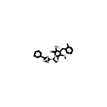 COc1c(Cc2ccccc2C)c(N)c(=O)n2c1SC[C@H]2c1noc(-c2ccccc2)n1